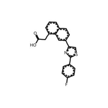 O=C(O)Cc1cccc2ccc(-c3csc(-c4ccc(F)cc4)n3)cc12